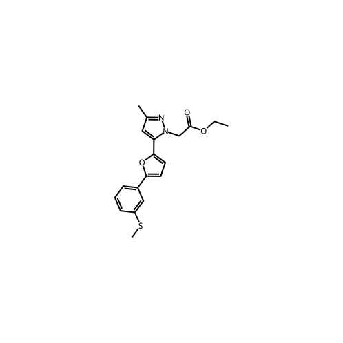 CCOC(=O)Cn1nc(C)cc1-c1ccc(-c2cccc(SC)c2)o1